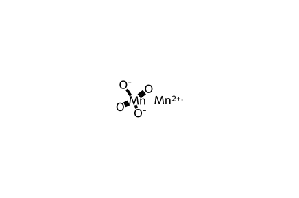 [Mn+2].[O]=[Mn](=[O])([O-])[O-]